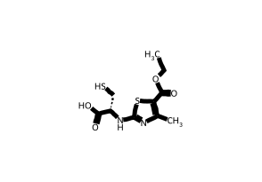 CCOC(=O)c1sc(N[C@@H](CS)C(=O)O)nc1C